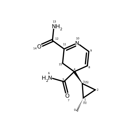 C[C@H]1C[C@@H]1C1(C(N)=O)C=CN=C(C(N)=O)C1